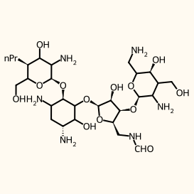 CCC[C@@H]1C(CO)O[C@H](O[C@@H]2C(N)C[C@@H](N)C(O)C2O[C@@H]2O[C@H](CNC=O)[C@H](O[C@H]3OC(CN)[C@@H](O)C(CO)C3N)[C@@H]2O)C(N)C1O